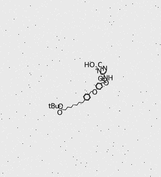 CC(C)(C)OC(=O)CCCCCCCc1ccc(COc2ccc(S(=O)(=O)Nc3cnc(C(=O)O)nc3)cc2)cc1